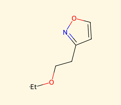 C[CH]OCCc1ccon1